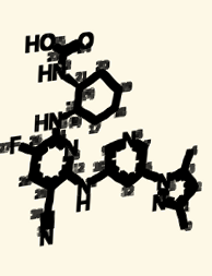 Cc1cc(C)n(-c2cncc(Nc3nc(N[C@@H]4CCCC[C@@H]4NC(=O)O)c(F)cc3C#N)c2)n1